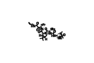 C=CCNC(=O)C(=O)C(CCC)NC(=O)[C@@H]1[C@@H]2[C@H](CN1C(=O)[C@@H](NC(=O)N[C@H](CN(C)S(C)(=O)=O)[C@@H](C)CC)C(C)(C)C)C2(C)C